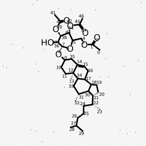 CC(=O)OCC1O[C@H](OC2CC[C@@]3(C)C(=CCC4C5CC[C@H]([C@H](C)CCCC(C)C)C5[C@H](C)CC43)C2)C(O)[C@@H](OC(C)=O)[C@@H]1OC(C)=O